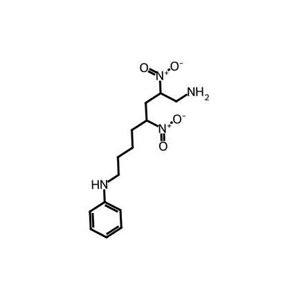 NCC(CC(CCCCNc1ccccc1)[N+](=O)[O-])[N+](=O)[O-]